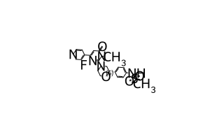 Cn1c(N2CCO[C@@H](c3ccc(NS(C)(=O)=O)cc3)C2)nc(-c2ccncc2F)cc1=O